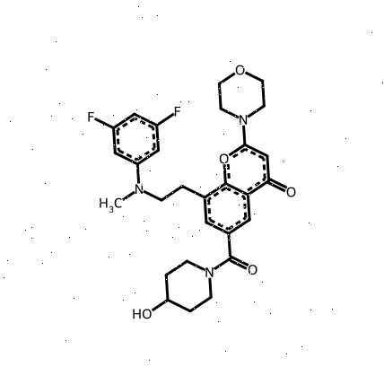 CN(CCc1cc(C(=O)N2CCC(O)CC2)cc2c(=O)cc(N3CCOCC3)oc12)c1cc(F)cc(F)c1